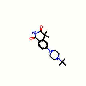 CC1(C)C(=O)NC(=O)c2ccc(N3CCN(C(C)(C)C)CC3)cc21